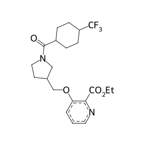 CCOC(=O)c1ncccc1OCC1CCN(C(=O)C2CCC(C(F)(F)F)CC2)C1